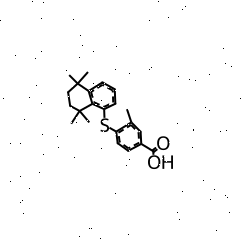 Cc1cc(C(=O)O)ccc1Sc1cccc2c1C(C)(C)CCC2(C)C